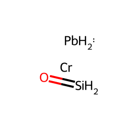 O=[SiH2].[Cr].[PbH2]